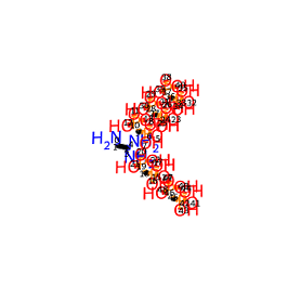 NCC(N)N.O=P(O)(O)CP(=O)(O)O.O=P(O)(O)CP(=O)(O)O.O=P(O)(O)CP(=O)(O)O.O=P(O)(O)CP(=O)(O)O.O=P(O)(O)CP(=O)(O)O